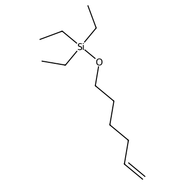 C=CCCCCO[Si](CC)(CC)CC